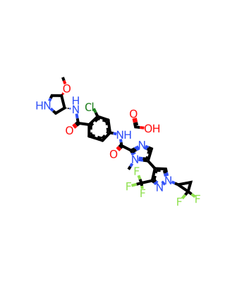 CO[C@@H]1CNC[C@H]1NC(=O)c1ccc(NC(=O)c2ncc(-c3cn(C4CC4(F)F)nc3C(F)(F)F)n2C)cc1Cl.O=CO